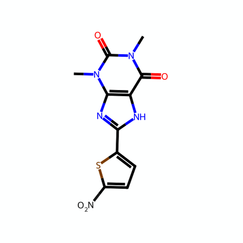 Cn1c(=O)c2[nH]c(-c3ccc([N+](=O)[O-])s3)nc2n(C)c1=O